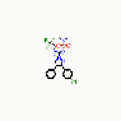 CN(C)S(=O)(=O)/N=C(\NCC(F)(F)F)N1CC(c2ccccc2)C(c2ccc(Cl)cc2)=N1